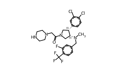 CN(Cc1ccc(C(F)(F)F)c(F)c1)[C@@H]1CN(C(=O)CN2CCNCC2)C[C@@H]1c1ccc(Cl)c(Cl)c1